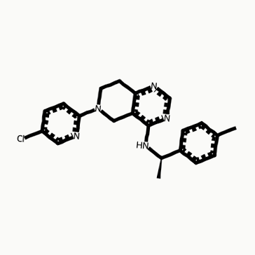 Cc1ccc([C@@H](C)Nc2ncnc3c2CN(c2ccc(Cl)cn2)CC3)cc1